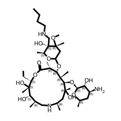 CCCCNC[C@]1(O)[C@H](C)OC(O[C@@H]2[C@@H](C)[C@@H](O[C@@H]3O[C@H](C)C[C@H](N)[C@H]3O)[C@](C)(O)C[C@@H](C)NC[C@@H](C)[C@H](O)[C@](C)(O)[C@H](CC)OC(=O)[C@@H]2C)C[C@@]1(C)OC